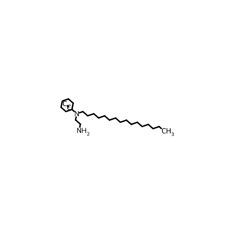 CCCCCCCCCCCCCCCCN(CCN)C12CCC(CC1)CC2